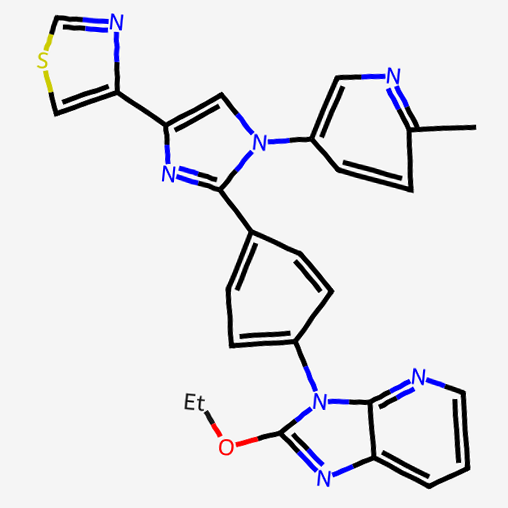 CCOc1nc2cccnc2n1-c1ccc(-c2nc(-c3cscn3)cn2-c2ccc(C)nc2)cc1